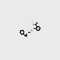 CON=C(C(N)=O)c1ccccc1CON=CC[C@@H]1C[C@@]1(C)c1ccc(F)cc1